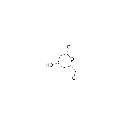 OC[C@@H]1C[C@H](O)C[C@H](O)O1